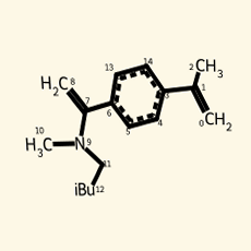 C=C(C)c1ccc(C(=C)N(C)CC(C)CC)cc1